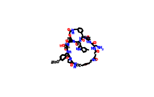 COc1ccc(C[C@@H]2NC(=O)[C@H]([C@@H](C)O)NC(=O)[C@@H]3[C@@H]4CCN3C(=O)[C@H](Cc3c[nH]c5ccc(C)cc35)NC(=O)[C@H](Cc3cccc(c3)CNC(=O)CO4)NC(=O)[C@@H](C)NC(=O)C(CN)NC(=O)CCC(=O)NCc3ccc(cc3)CCNC(=O)[C@]3(C)CCCN3C2=O)cc1